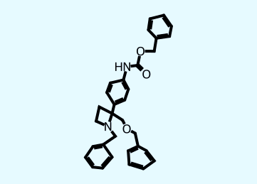 O=C(Nc1ccc(C2(COCc3ccccc3)CCN2Cc2ccccc2)cc1)OCc1ccccc1